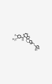 CCc1nccn1CCn1cc2c(n1)CCc1c-2sc2ncnc(Nc3ccc(F)c(C)c3)c12